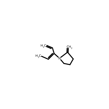 C=C/C(=C\C)N1CCCC1=C